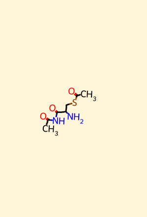 CC(=O)NC(=O)C(N)CSC(C)=O